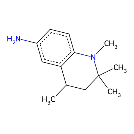 CC1CC(C)(C)N(C)c2ccc(N)cc21